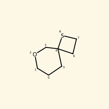 C1COCC2(C1)CCS2